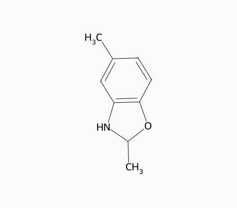 Cc1ccc2c(c1)NC(C)O2